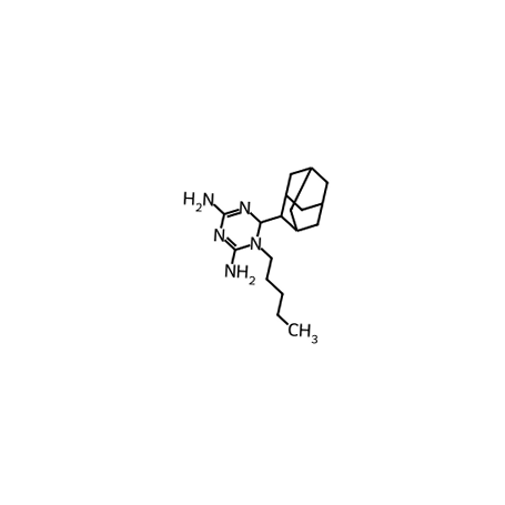 CCCCCN1C(N)=NC(N)=NC1C1C2CC3CC(C2)CC1C3